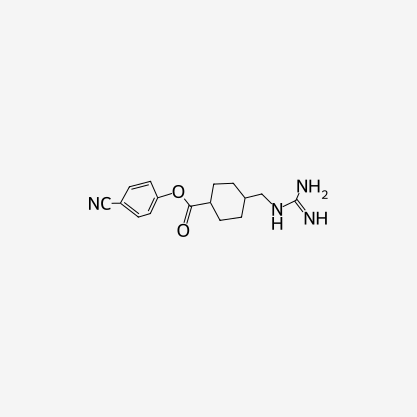 N#Cc1ccc(OC(=O)C2CCC(CNC(=N)N)CC2)cc1